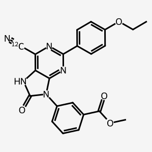 CCOc1ccc(-c2nc([12C]#N)c3[nH]c(=O)n(-c4cccc(C(=O)OC)c4)c3n2)cc1